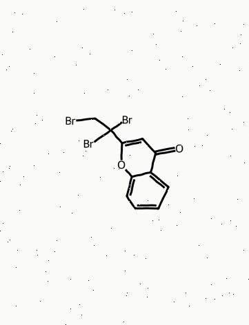 O=c1cc(C(Br)(Br)CBr)oc2ccccc12